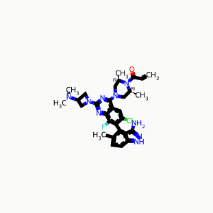 C=CC(=O)N1[C@H](C)CN(c2nc(N3CC(N(C)C)C3)nc3c(F)c(-c4c(C)ccc5[nH]nc(N)c45)c(Cl)cc23)C[C@@H]1C